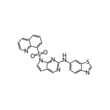 O=S(=O)(c1cccc2cccnc12)n1ccc2cnc(Nc3ccc4ncsc4c3)nc21